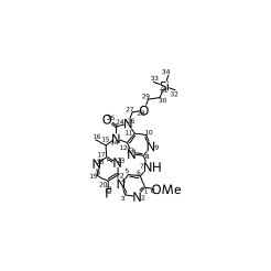 COc1ncncc1Nc1ncc2c(n1)n(C(C)c1ncc(F)cn1)c(=O)n2COCC[Si](C)(C)C